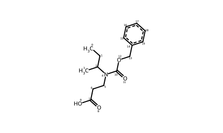 CCC(C)N(CCC(=O)O)C(=O)OCc1ccccc1